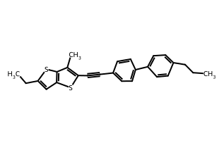 CCCc1ccc(-c2ccc(C#Cc3sc4cc(CC)sc4c3C)cc2)cc1